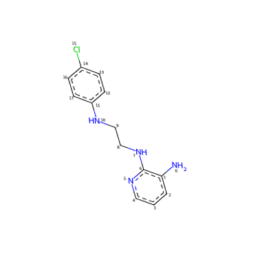 Nc1cccnc1NCCNc1ccc(Cl)cc1